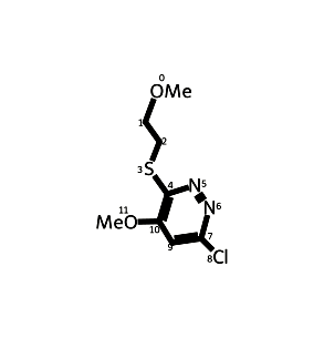 COCCSc1nnc(Cl)cc1OC